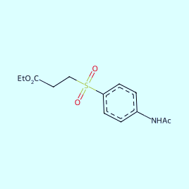 CCOC(=O)CCS(=O)(=O)c1ccc(NC(C)=O)cc1